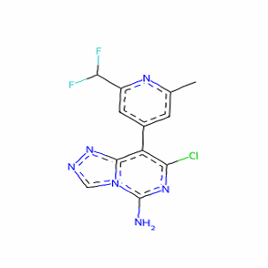 Cc1cc(-c2c(Cl)nc(N)n3cnnc23)cc(C(F)F)n1